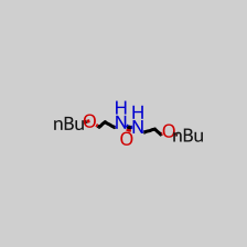 CCCCOCCCNC(=O)NCCCOCCCC